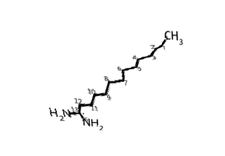 CCCCCCCCCCCCC[C](N)N